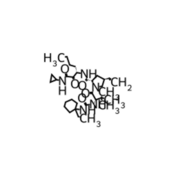 C=C[C@@H]1C[C@@H](C(=O)N[C@@H](CCCC)C(=O)C(=O)NC2CC2)N(C(=O)[C@@H](NC(=O)NC2(CC)CCCCC2)C(C)(C)C)C1